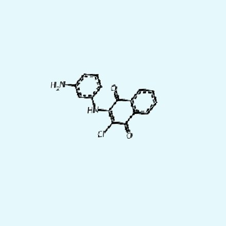 Nc1cccc(NC2=C(Cl)C(=O)c3ccccc3C2=O)c1